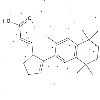 Cc1cc2c(cc1C1=CCCC1/C=C/C(=O)O)C(C)(C)CCC2(C)C